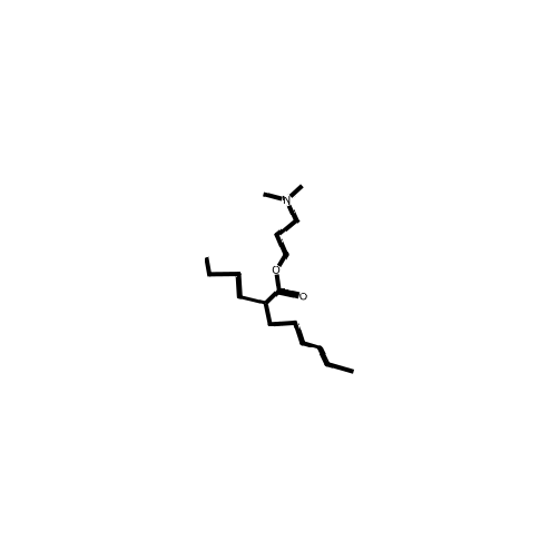 CCCCCCC(CCCC)C(=O)OCCCN(C)C